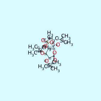 C[Si](C)(C)OC[C@H]1OC(=O)[C@H](O[Si](C)(C)C)[C@@H](O[Si](C)(C)C)[C@@H]1OS(C)(=O)=O